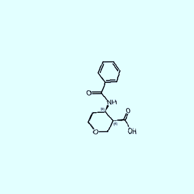 O=C(N[C@@H]1CCOC[C@@H]1C(=O)O)c1ccccc1